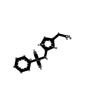 CCc1cnc([N]S(=O)(=O)c2ccccc2)s1